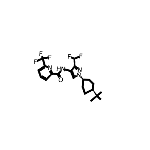 CC(C)(C)[C@H]1CC[C@@H](n2cc(NC(=O)c3cccc(C(F)(F)F)n3)c(C(F)F)n2)CC1